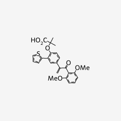 C=C(C(=O)c1c(OC)cccc1OC)c1ccc(OC(C)(C)C(=O)O)c(-c2cccs2)c1